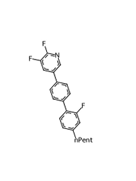 CCCCCc1ccc(-c2ccc(-c3cnc(F)c(F)c3)cc2)c(F)c1